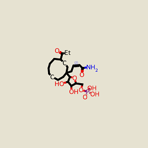 CCC(=O)C1CCCCCCCC(C/C=C\C(N)=O)(C2OC(COP(=O)(O)O)C(O)C2O)CC1